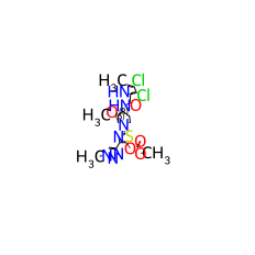 COC(=O)Oc1sc(N2CC[C@@H](NC(=O)c3[nH]c(C)c(Cl)c3Cl)[C@@H](OC)C2)nc1-c1cn(C)nn1